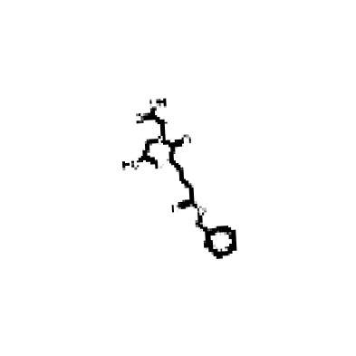 O=C(O)CN(CC(=O)O)C(=O)CCCCC(=O)OCc1ccccc1